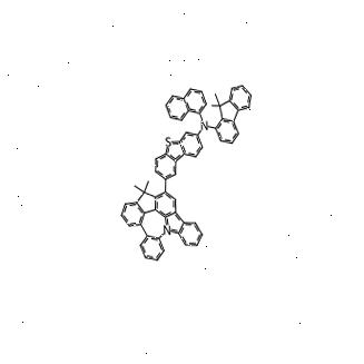 CC1(C)c2ccccc2-c2cccc(N(c3ccc4c(c3)sc3ccc(-c5cc6c7ccccc7n7c6c6c5C(C)(C)c5cccc(c5-6)-c5ccccc5-7)cc34)c3cccc4ccccc34)c21